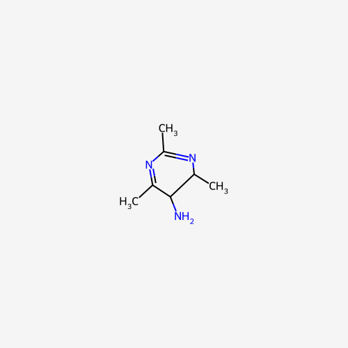 CC1=NC(C)C(N)C(C)=N1